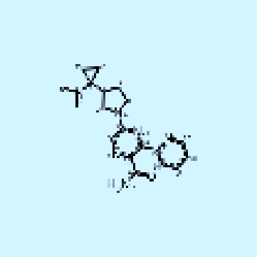 CNC1(C2CCN(c3cnc(C(N)=O)c(-c4ccccn4)n3)C2)CC1